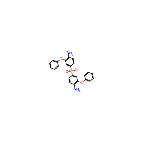 Nc1ccc(S(=O)(=O)c2ccc(N)c(Oc3ccccc3)c2)cc1Oc1ccccc1